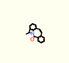 CC1c2cccc3c2N1C(=O)c1ccccc1/C=C\3